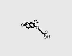 COc1cc2oc(=O)ccc2cc1OCCCC(=O)O